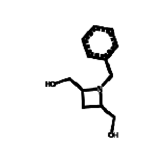 OCC1CC(CO)N1Cc1ccccc1